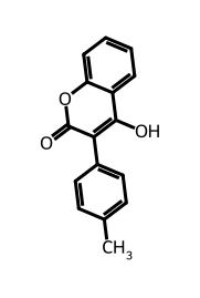 Cc1ccc(-c2c(O)c3ccccc3oc2=O)cc1